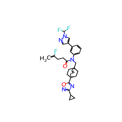 C=C(F)CCC(=O)N(CC12CCC(c3nc(C4CC4)no3)(CC1)CC2)c1cccc(-c2cnn(C(F)F)c2)c1